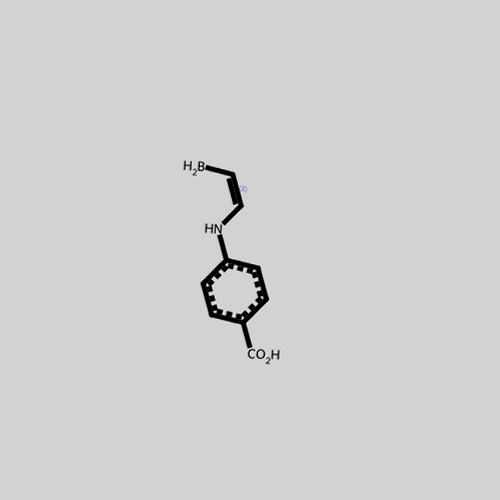 B/C=C\Nc1ccc(C(=O)O)cc1